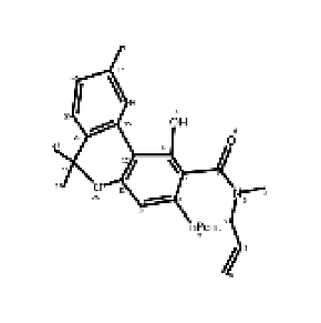 C=CCN(C)C(=O)c1c(CCCCC)cc2c(c1O)-c1cc(C)ccc1C(C)(C)O2